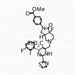 CCOC(=O)C1=C(CN2CC[C@@]3(F)C(=O)N(c4ccc(C(=O)OC)cc4)C[C@H]3C2)NC(c2nccs2)=N[C@H]1c1cccc(F)c1C